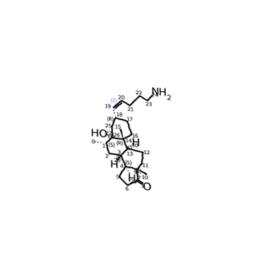 C[C@H]1C[C@H]2[C@@H]3CCC(=O)[C@@]3(C)CC[C@@H]2[C@@]2(C)CC[C@@H](/C=C\CCCN)C[C@]12O